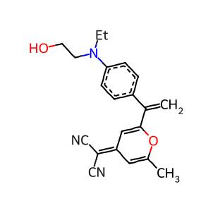 C=C(C1=CC(=C(C#N)C#N)C=C(C)O1)c1ccc(N(CC)CCO)cc1